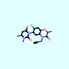 C#CCN1C(=O)C(C)Oc2cc(F)c(-n3c(=O)cc(C)n(C)c3=O)cc21